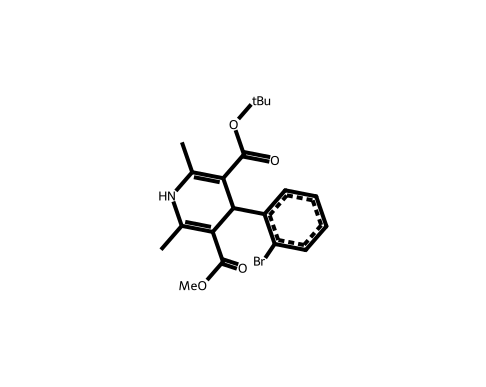 COC(=O)C1=C(C)NC(C)=C(C(=O)OC(C)(C)C)C1c1ccccc1Br